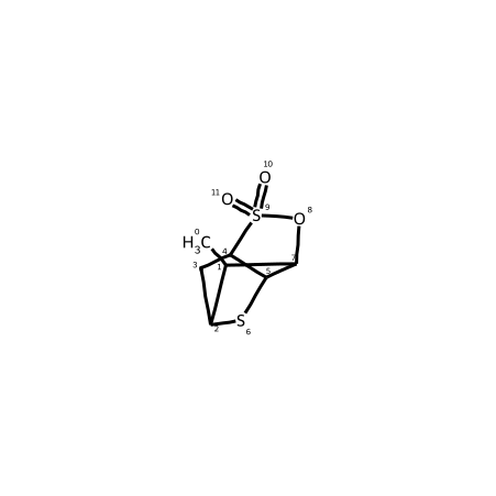 CC1C2CC3C(S2)C1OS3(=O)=O